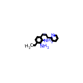 C=Cc1ccc(/C=C\Cc2ccccn2)c(N)c1N